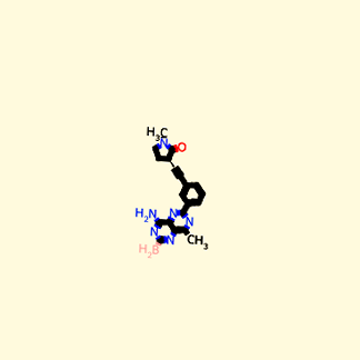 Bc1nc(N)c2nc(-c3cccc(C#C[C@@H]4CCN(C)C4=O)c3)nc(C)c2n1